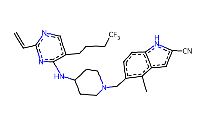 C=Cc1ncc(CCCC(F)(F)F)c(NC2CCN(Cc3ccc4[nH]c(C#N)cc4c3C)CC2)n1